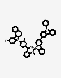 CC1CC(C(=N)c2ccccc2N(C)CN2c3ccccc3C3C=C(c4ccc5c(c4)c4ccccc4n5-c4ccccc4)C=CC32)=CC=C1n1c2c(c3c1CCc1ccccc1-3)CC(F)C=C2